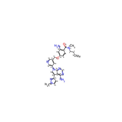 COCCN(C)C(=O)c1ccc(OCc2cncc(-n3cc(-c4ccn(C)n4)c4c(N)ncnc43)c2)cc1N